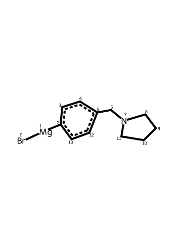 [Br][Mg][c]1ccc(CN2CCCC2)cc1